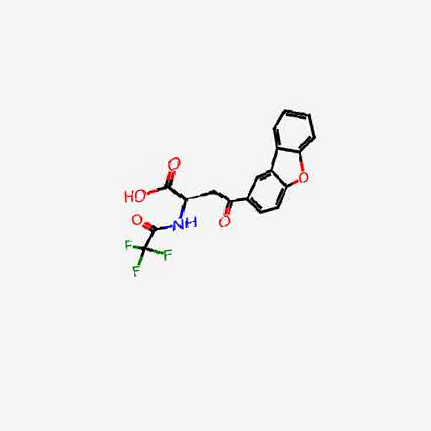 O=C(C[C@@H](NC(=O)C(F)(F)F)C(=O)O)c1ccc2oc3ccccc3c2c1